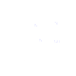 COc1ccc(C(C)Nc2ncnc3scnc23)cc1